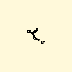 COS(=O)[O-].[Li+]